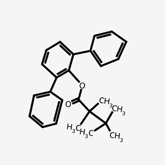 CC(C)(C)C(C)(C)C(=O)Oc1c(-c2ccccc2)cccc1-c1ccccc1